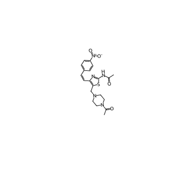 CC(=O)Nc1nc(/C=C\c2ccc([N+](=O)[O-])cc2)c(CN2CCN(C(C)=O)CC2)s1